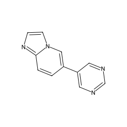 c1ncc(-c2ccc3nccn3c2)cn1